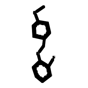 COc1ccc(COc2ccc[c]c2F)cc1